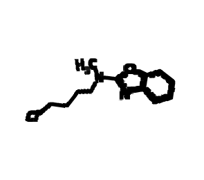 CN(CCCCCl)c1nc2ccccc2o1